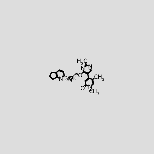 Cc1ncc(-c2cc(=O)n(C)cc2C)c(OC[C@H]2C[C@@H]2c2ccc3c(n2)CCC3)n1